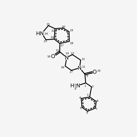 NC(Cc1ccccc1)C(=O)N1CCN(C(=O)c2cccc3c2CNC3)CC1